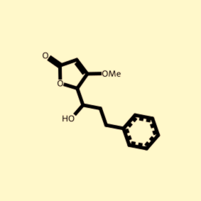 COC1=CC(=O)OC1C(O)CCc1ccccc1